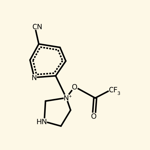 N#Cc1ccc([N+]2(OC(=O)C(F)(F)F)CCNC2)nc1